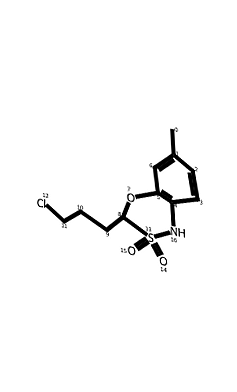 Cc1ccc2c(c1)OC(CCCCl)S(=O)(=O)N2